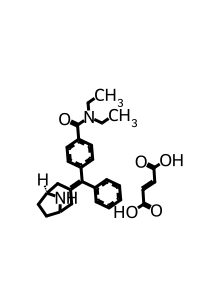 CCN(CC)C(=O)c1ccc(C(=C2CC3CC[C@@H](C2)N3)c2ccccc2)cc1.O=C(O)/C=C/C(=O)O